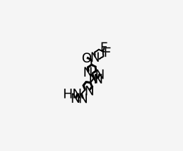 O=C(c1cnc2c(c1)nnn2-c1ccc(-c2ncn[nH]2)nc1)N1CCC(F)(F)CC1